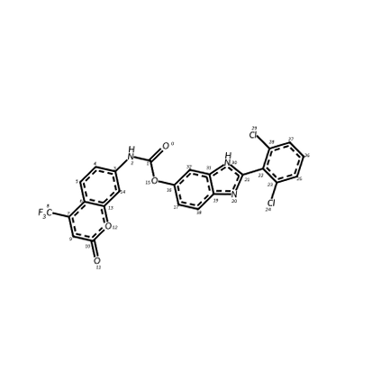 O=C(Nc1ccc2c(C(F)(F)F)cc(=O)oc2c1)Oc1ccc2nc(-c3c(Cl)cccc3Cl)[nH]c2c1